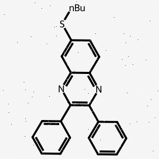 CCCCSc1ccc2nc(-c3ccccc3)c(-c3ccccc3)nc2c1